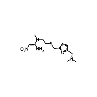 CN(C)Cc1ccc(CSCCN(C)C(N)=C[N+](=O)[O-])o1